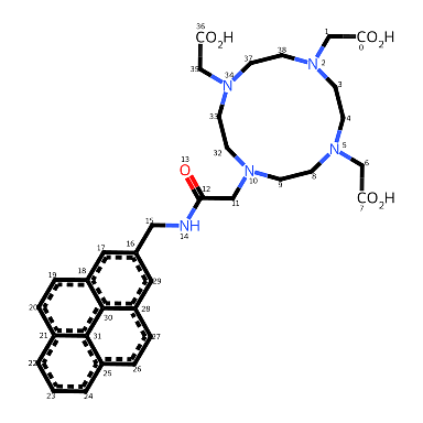 O=C(O)CN1CCN(CC(=O)O)CCN(CC(=O)NCc2cc3ccc4cccc5ccc(c2)c3c45)CCN(CC(=O)O)CC1